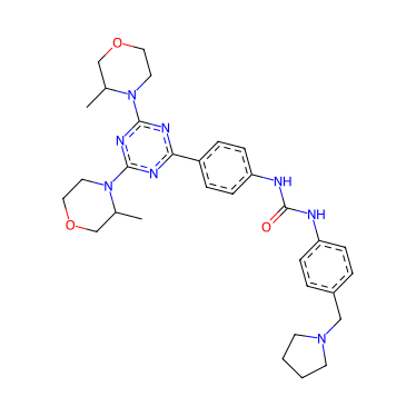 CC1COCCN1c1nc(-c2ccc(NC(=O)Nc3ccc(CN4CCCC4)cc3)cc2)nc(N2CCOCC2C)n1